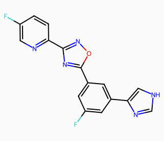 Fc1ccc(-c2noc(-c3cc(F)cc(-c4c[nH]cn4)c3)n2)nc1